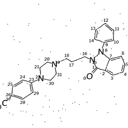 O=c1c2ccccc2n(-c2ccccc2)n1CCCN1CCN(c2ccc(C(F)(F)F)cc2)CC1